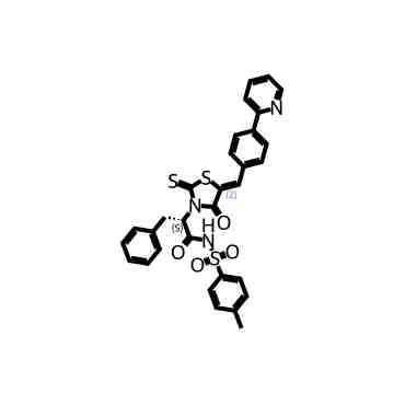 Cc1ccc(S(=O)(=O)NC(=O)[C@H](Cc2ccccc2)N2C(=O)/C(=C/c3ccc(-c4ccccn4)cc3)SC2=S)cc1